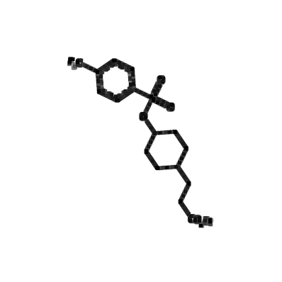 CCOC(=O)CCC1CCC(OS(=O)(=O)c2ccc(C(F)(F)F)cc2)CC1